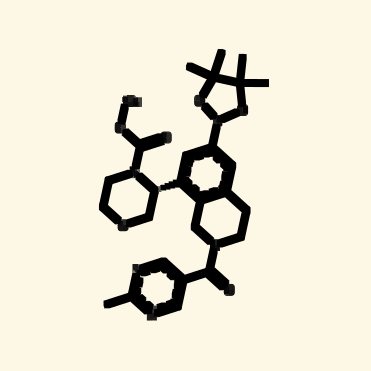 Cc1ncc(C(=O)N2CCc3cc(B4OC(C)(C)C(C)(C)O4)cc([C@@H]4COCCN4C(=O)OC(C)(C)C)c3C2)cn1